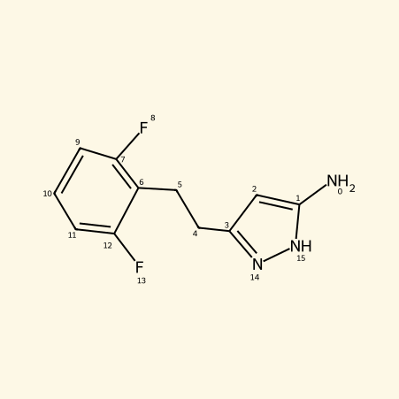 Nc1cc(CCc2c(F)cccc2F)n[nH]1